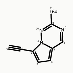 C#Cc1ccc2cnc(C(C)(C)C)nn12